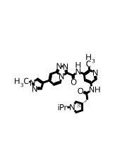 Cc1ncc(NC(=O)C[C@@H]2CCN(C(C)C)C2)cc1NC(=O)c1nnc2cc(-c3cnn(C)c3)ccn12